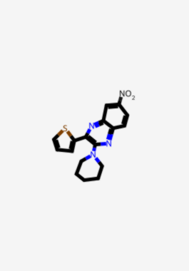 O=[N+]([O-])c1ccc2nc(N3CCCCC3)c(-c3cccs3)nc2c1